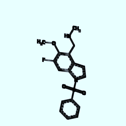 CNCc1c(OC)c(F)cc2c1ccn2S(=O)(=O)c1ccccc1